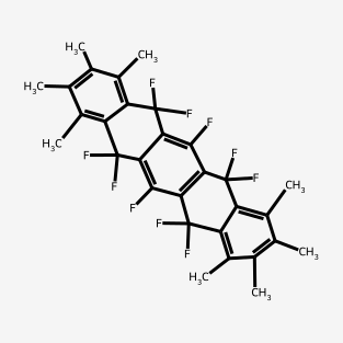 Cc1c(C)c(C)c2c(c1C)C(F)(F)c1c(F)c3c(c(F)c1C2(F)F)C(F)(F)c1c(C)c(C)c(C)c(C)c1C3(F)F